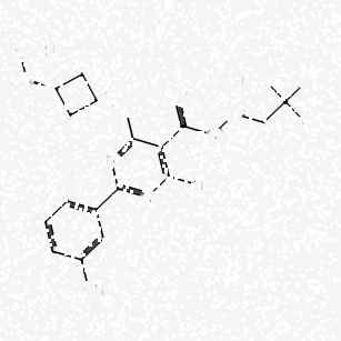 CC(C)(O)CONC(=O)c1c(N)nc(-c2cccc(C#N)c2)nc1O[C@H]1C[C@H](NC(=O)O)C1